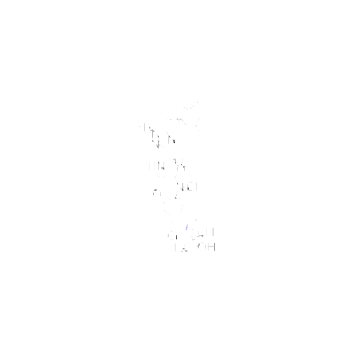 [2H]n1nc(C(=O)N[C@H]2COc3ccc(/C=C(\Cl)C(C)(C)O)cc3N(C)C2=O)nc1Cc1ccccc1